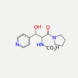 O=C(O)NC(C(=O)N1CCCC1)C(O)c1ccncc1